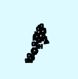 CC(C)(C)OC(=O)N1CCC(NC(=O)c2c[nH]c3c(-c4c(OCC5CC5)ccc5c4OCO5)ncnc23)CC1